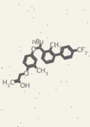 C=C(O)COc1ccc(OC(CCCC)c2cccc(-c3ccc(C(F)(F)F)cc3)c2C)cc1C